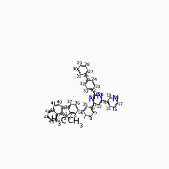 CC1(C)c2cc(-c3cccc(-c4cc(-c5cccnc5)nc(-c5ccc(-c6ccccc6)cc5)n4)c3)ccc2-c2ccc3ccccc3c21